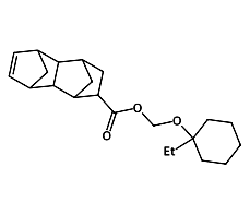 CCC1(OCOC(=O)C2CC3CC2C2C4C=CC(C4)C32)CCCCC1